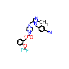 Cc1ncc(CN2CCN(C(=O)OCc3ccccc3OC(F)F)CC2)n1Cc1ccc(C#N)cc1